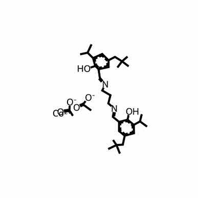 CC(=O)[O-].CC(=O)[O-].CC(C)c1cc(CC(C)(C)C)cc(C=NCCCN=Cc2cc(CC(C)(C)C)cc(C(C)C)c2O)c1O.[Co+2]